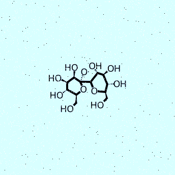 [O][C@]1(C2O[C@H](CO)[C@@H](O)[C@H](O)[C@H]2O)O[C@@H](CO)[C@H](O)[C@@H](O)[C@H]1O